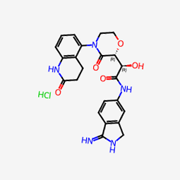 Cl.N=C1NCc2cc(NC(=O)[C@H](O)[C@H]3OCCN(c4cccc5c4CCC(=O)N5)C3=O)ccc21